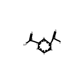 C=C(C)c1cccc(C(=C)I)c1